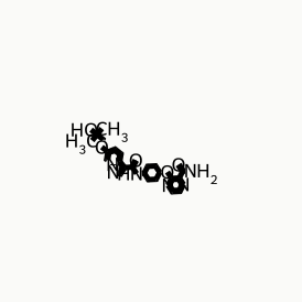 CC(C)(O)COc1ccc2c(C(=O)NC3CCC(Oc4nccnc4C(N)=O)CC3)cnn2c1